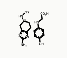 CCCN[C@H]1CCc2nc(N)sc2C1.O=C(O)CNc1ccc(O)cc1